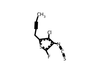 CC#CCc1sc(F)c(N=C=S)c1Cl